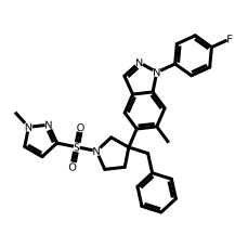 Cc1cc2c(cnn2-c2ccc(F)cc2)cc1C1(Cc2ccccc2)CCN(S(=O)(=O)c2ccn(C)n2)C1